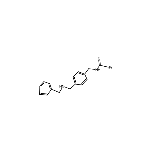 CC(C)C(=O)NCc1ccc(CNCc2ccccc2)cc1